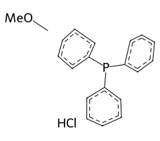 COC.Cl.c1ccc(P(c2ccccc2)c2ccccc2)cc1